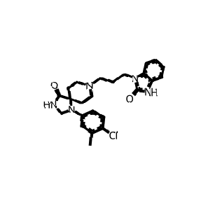 Cc1cc(N2CNC(=O)C23CCN(CCCn2c(=O)[nH]c4ccccc42)CC3)ccc1Cl